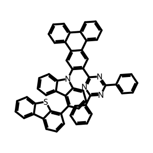 c1ccc(-c2nc(-c3ccccc3)nc(-c3cc4c5ccccc5c5ccccc5c4cc3-n3c4ccccc4c4c(-c5cccc6c5sc5ccccc56)cccc43)n2)cc1